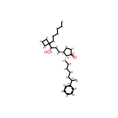 CCCCCCC1(C(O)CC[C@H]2CCC(=O)[C@@H]2CCCCCC(C)c2ccccc2)CCC1